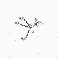 C=C(C)C(=O)OCC(O)C[N+](CCCCCCCC)(CCCCCCCC)CCCCCCCC.[Cl-]